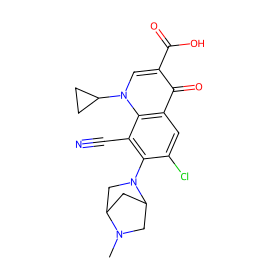 CN1CC2CC1CN2c1c(Cl)cc2c(=O)c(C(=O)O)cn(C3CC3)c2c1C#N